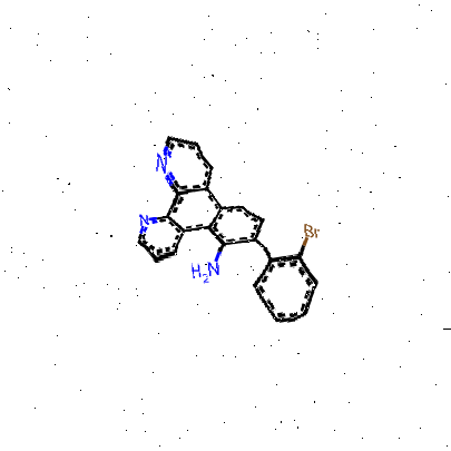 Nc1c(-c2ccccc2Br)ccc2c3cccnc3c3ncccc3c12